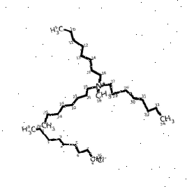 CCCCCCCCO.CCCCCCCC[N+](C)(CCCCCCCC)CCCCCCCC.[Cl-]